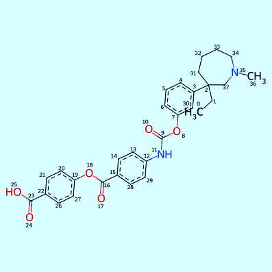 CCC1(c2cccc(OC(=O)Nc3ccc(C(=O)Oc4ccc(C(=O)O)cc4)cc3)c2)CCCCN(C)C1